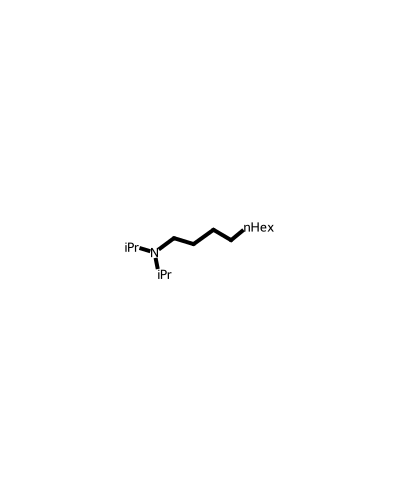 CCCCCCCCCCN(C(C)C)C(C)C